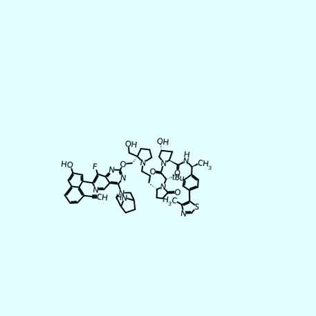 C#Cc1cccc2cc(O)cc(-c3ncc4c(N5CC6CCC(C5)N6)nc(OC[C@]5(CO)CCCN5CCC[C@H]5CCC(=O)N5[C@H](C(=O)N5C[C@H](O)C[C@H]5C(=O)N[C@@H](C)c5ccc(-c6scnc6C)cc5)C(C)(C)C)nc4c3F)c12